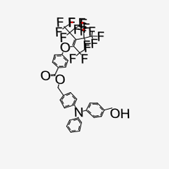 O=C(OCc1ccc(N(c2ccccc2)c2ccc(CO)cc2)cc1)c1ccc(OC(=C(C(F)(C(F)(F)F)C(F)(F)F)C(F)(C(F)(F)F)C(F)(F)F)C(F)(F)F)cc1